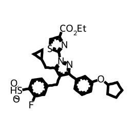 CCOC(=O)c1csc(-n2nc(-c3cccc(OC4CCCC4)c3)c(Cc3ccc([SH](=O)=O)c(F)c3)c2CC2CC2)n1